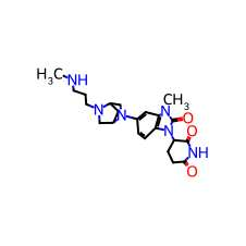 CNCCCN1CC2CC1CN2c1ccc2c(c1)n(C)c(=O)n2C1CCC(=O)NC1=O